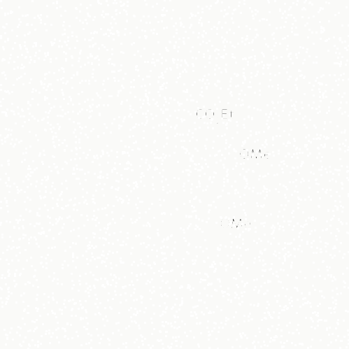 CCOC(=O)Cc1ccccc1.COC(Cc1ccccc1)OC